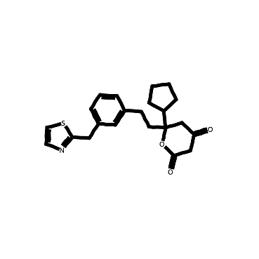 O=C1CC(=O)OC(CCc2cccc(Cc3nccs3)c2)(C2CCCC2)C1